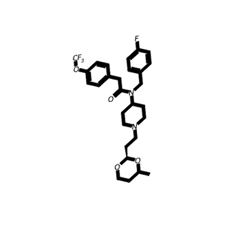 CC1CCO[C@@H](CCN2CCC(N(Cc3ccc(F)cc3)C(=O)Cc3ccc(OC(F)(F)F)cc3)CC2)O1